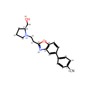 N#Cc1ccc(-c2ccc3oc(CCN4CCC[C@H]4CO)nc3c2)cc1